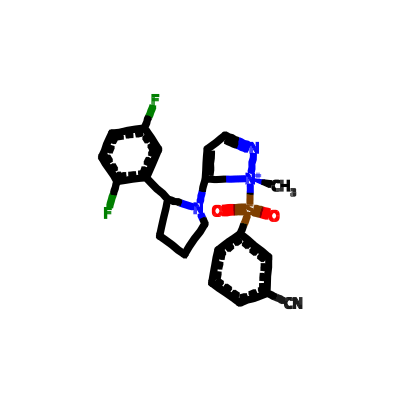 C[N@+]1(S(=O)(=O)c2cccc(C#N)c2)N=CC=C1N1CCCC1c1cc(F)ccc1F